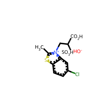 Cc1sc2ccc(Cl)cc2[n+]1CC(C(=O)O)S(=O)(=O)O.[OH-]